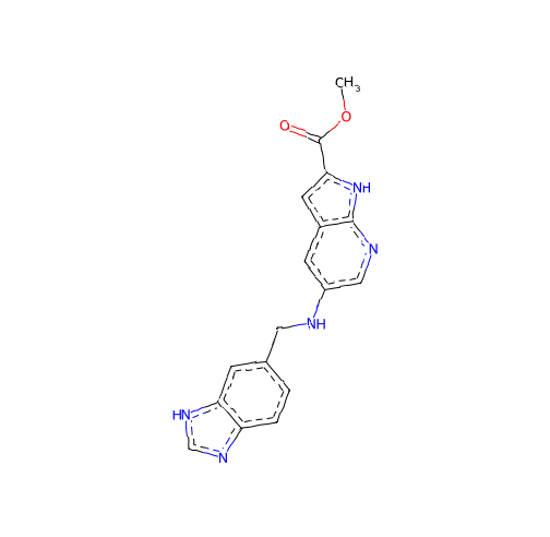 COC(=O)c1cc2cc(NCc3ccc4nc[nH]c4c3)cnc2[nH]1